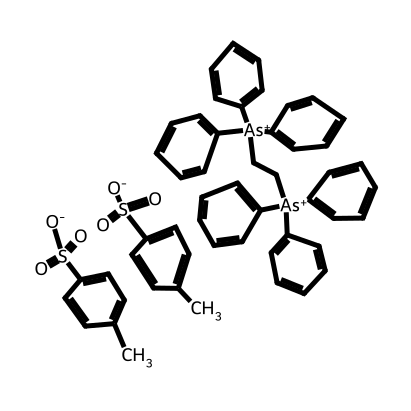 Cc1ccc(S(=O)(=O)[O-])cc1.Cc1ccc(S(=O)(=O)[O-])cc1.c1ccc([As+](CC[As+](c2ccccc2)(c2ccccc2)c2ccccc2)(c2ccccc2)c2ccccc2)cc1